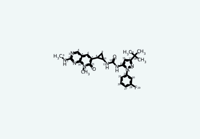 CNc1ncc2cc(C3CC3NC(=O)Nc3cc(C(C)(C)C)nn3-c3cccc(F)c3)c(=O)n(C)c2n1